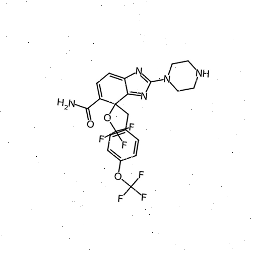 NC(=O)C1=CC=C2N=C(N3CCNCC3)N=C2C1(Cc1ccc(OC(F)(F)F)cc1)OC(F)(F)F